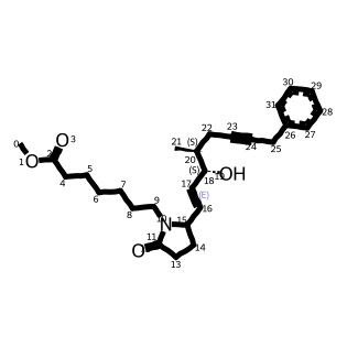 COC(=O)CCCCCCN1C(=O)CCC1/C=C/[C@@H](O)[C@@H](C)CC#CCc1ccccc1